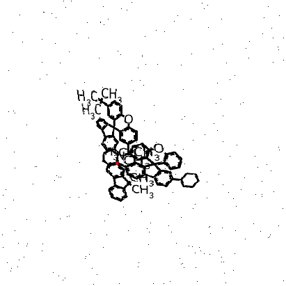 CC(C)(C)c1ccc2c(c1)C1(c3cc(C(C)(C)C)ccc3O2)c2ccccc2-c2ccc(N(c3ccc4c(c3)C(C)(C)c3ccccc3-4)c3ccc4c(c3)C3(c5ccccc5O4)c4cc(C5CCCCC5)ccc4-c4ccc(C5CCCCC5)cc43)cc21